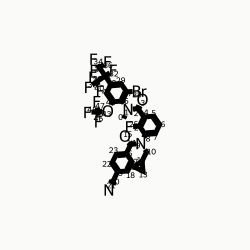 CN(C(=O)c1cccc(N(CC2CC2)C(=O)c2ccc(C#N)cc2)c1F)c1c(Br)cc(C(F)(C(F)(F)F)C(F)(F)F)cc1OC(F)(F)F